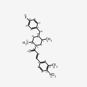 CC1CN(C(=O)C=Cc2ccc([N+](=O)[O-])c(C(F)(F)F)c2)C(C)CN1Cc1ccc(F)cc1